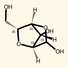 OC[C@H]1O[C@@H]2C(O)O[C@H]1[C@@H]2O